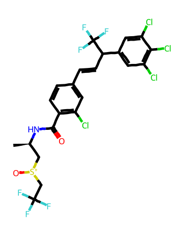 C[C@H](C[S+]([O-])CC(F)(F)F)NC(=O)c1ccc(/C=C/C(c2cc(Cl)c(Cl)c(Cl)c2)C(F)(F)F)cc1Cl